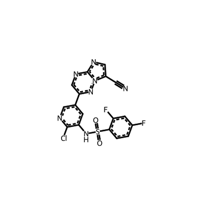 N#Cc1cnc2ncc(-c3cnc(Cl)c(NS(=O)(=O)c4ccc(F)cc4F)c3)nn12